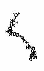 O=C1CCC(N2Cc3c(NCCOCCOCCOCCN4CCC5(CC4)CCN(C(=O)c4cc6cc(N7CC[C@](O)(C(=O)CCCc8cc(F)cc(F)c8)C7=O)ccc6[nH]4)CC5)cccc3C2=O)C(=O)N1